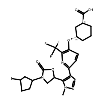 Cn1nnc(-c2ccc(O[C@H]3CCC[C@H](C(=O)O)C3)c(C(F)(F)F)n2)c1C1CN(C2CCC(I)C2)C(=O)O1